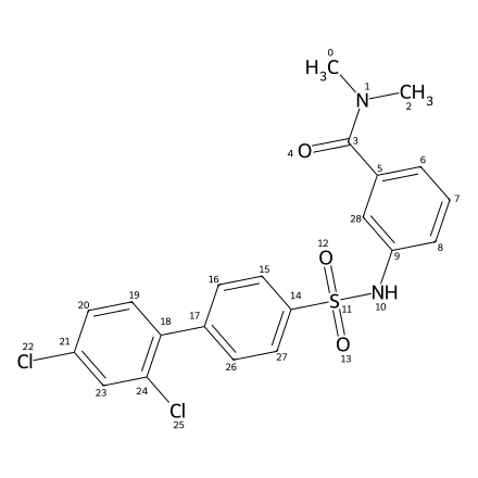 CN(C)C(=O)c1cccc(NS(=O)(=O)c2ccc(-c3ccc(Cl)cc3Cl)cc2)c1